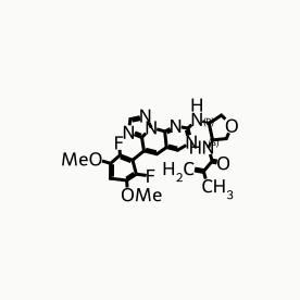 C=C(C)C(=O)N[C@@H]1COC[C@@H]1Nc1ncc2cc(-c3c(F)c(OC)cc(OC)c3F)c3ncnn3c2n1